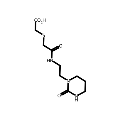 O=C(O)CSCC(=O)NCCN1CCCNC1=O